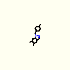 Cc1ccc(Cn2ncc3cc(C)c(C)cc32)cc1